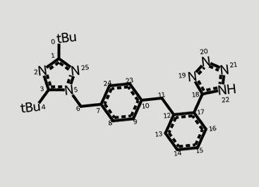 CC(C)(C)c1nc(C(C)(C)C)n(Cc2ccc(Cc3ccccc3-c3nnn[nH]3)cc2)n1